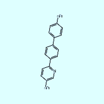 CCCc1ccc(-c2ccc(-c3ccc(CCC)cn3)cc2)cc1